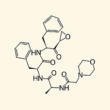 C[C@H](NC(=O)CN1CCOCC1)C(=O)N[C@@H](Cc1ccccc1)C(=O)N[C@@H](Cc1ccccc1)C(=O)[C@H]1CO1